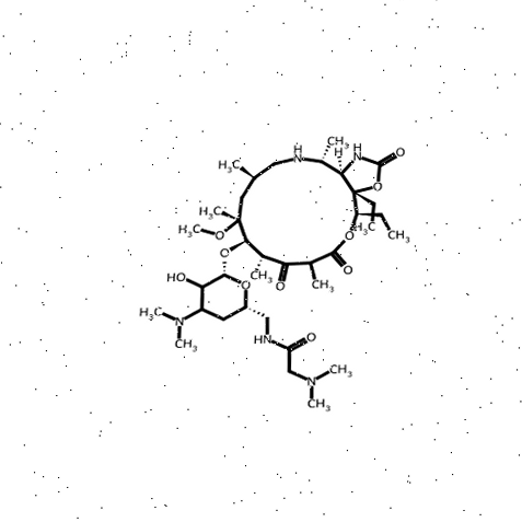 CC[C@H]1OC(=O)C(C)C(=O)[C@H](C)[C@@H](O[C@@H]2O[C@H](CNC(=O)CN(C)C)CC(N(C)C)C2O)[C@](C)(OC)C[C@@H](C)CN[C@H](C)[C@H]2NC(=O)O[C@@]21CC